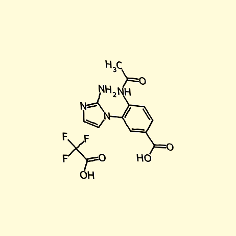 CC(=O)Nc1ccc(C(=O)O)cc1-n1ccnc1N.O=C(O)C(F)(F)F